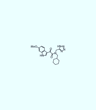 COc1ccc2c(C(=O)C(=O)N(Cc3nnn[nH]3)CC3CCCCC3)c[nH]c2c1